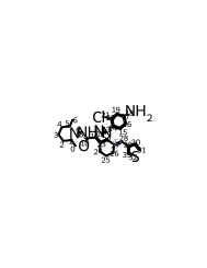 CC1CCCC(C)N1NC(=O)c1nn(-c2ccc(N)cc2Cl)c2c1CCC/C2=C\c1ccsc1